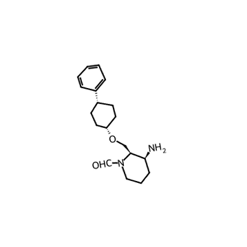 N[C@H]1CCCN(C=O)[C@H]1CO[C@H]1CC[C@@H](c2ccccc2)CC1